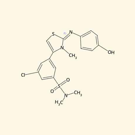 CN(C)S(=O)(=O)c1cc(Cl)cc(-c2cs/c(=N/c3ccc(O)cc3)n2C)c1